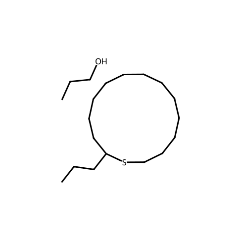 CCCC1CCCCCCCCCCCCS1.CCCO